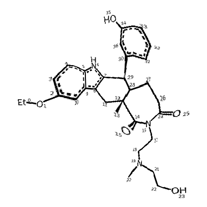 CCOc1ccc2[nH]c3c(c2c1)C[C@@]1(C)C(=O)N(CCN(C)CCO)C(=O)CCC1[C@@H]3c1cccc(O)c1